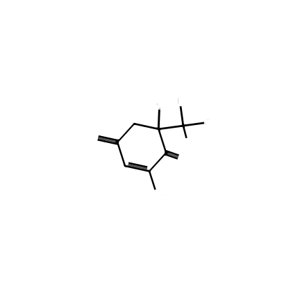 CC1=CC(=O)CC(C)(C(F)(F)F)C1=O